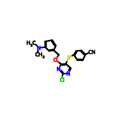 CN(C)c1cccc(COc2nc(Cl)ncc2Sc2ccc(C#N)cc2)c1